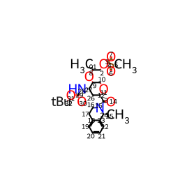 C[C@@H](COS(C)(=O)=O)O[C@H]1CO[C@@H](C(=O)N2CCc3ccccc3[C@@H]2C)C[C@@H]1NC(=O)OC(C)(C)C